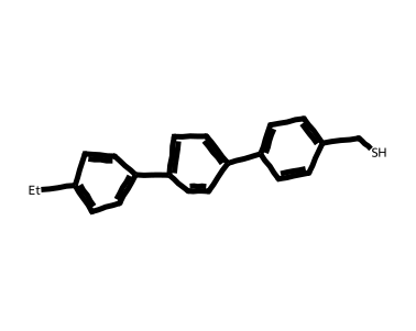 CCc1ccc(-c2ccc(-c3ccc(CS)cc3)cc2)cc1